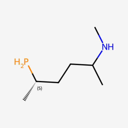 CNC(C)CC[C@H](C)P